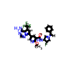 [2H]C(c1ccccc1)N1C[C@H](F)[C@H](NC(=O)c2cc(-c3cc(C(F)(F)F)c4c(N)ncnn34)cnc2OC)C1